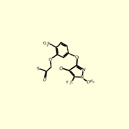 Cn1nc(Oc2ccc([N+](=O)[O-])c(OCC(=O)[S])c2)c(Cl)c1C(F)(F)F